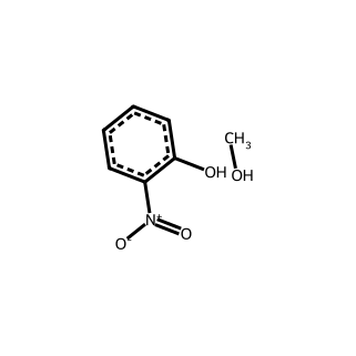 CO.O=[N+]([O-])c1ccccc1O